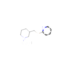 O=C(O)N1CCCC(CSc2ccccn2)C1